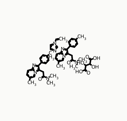 C=Cn1ccnc1.Cc1ccc(-c2nc3ccc(C)cn3c2CC(=O)N(C)C)cc1.Cc1ccc(-c2nc3ccc(C)cn3c2CC(=O)N(C)C)cc1.O=C(O)C(O)C(O)C(=O)O